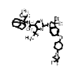 CCC1(CC)CN(c2ncc(C(=O)NC3(C(=O)OC(C)(C)C)C4CC5CC(C4)CC3C5)c(C(C)(F)F)n2)c2ccc(OC3CCC(N4CC(F)(F)C4)CC3)cc21